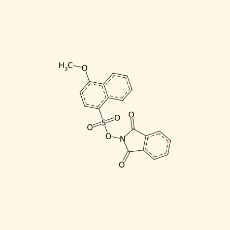 COc1ccc(S(=O)(=O)ON2C(=O)c3ccccc3C2=O)c2ccccc12